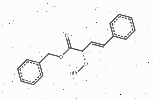 CCCO[C@@H](C=Cc1ccccc1)C(=O)OCc1ccccc1